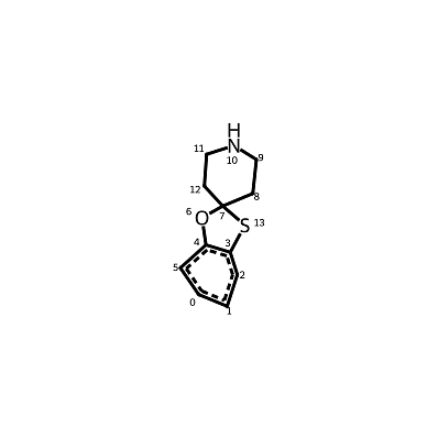 c1ccc2c(c1)OC1(CCNCC1)S2